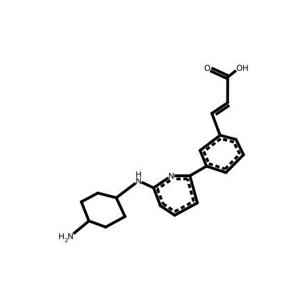 NC1CCC(Nc2cccc(-c3cccc(C=CC(=O)O)c3)n2)CC1